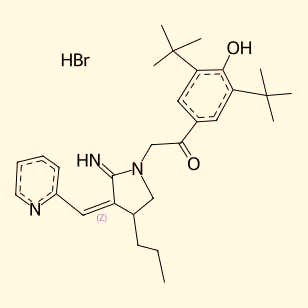 Br.CCCC1CN(CC(=O)c2cc(C(C)(C)C)c(O)c(C(C)(C)C)c2)C(=N)/C1=C\c1ccccn1